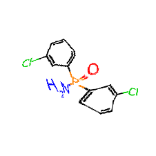 NP(=O)(c1cccc(Cl)c1)c1cccc(Cl)c1